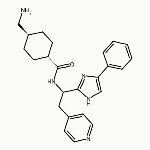 NC[C@H]1CC[C@H](C(=O)NC(Cc2ccncc2)c2nc(-c3ccccc3)c[nH]2)CC1